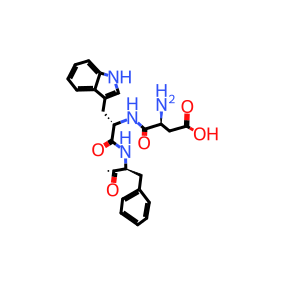 N[C@@H](CC(=O)O)C(=O)N[C@@H](Cc1c[nH]c2ccccc12)C(=O)N[C@H]([C]=O)Cc1ccccc1